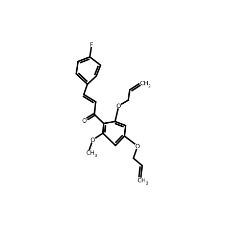 C=CCOc1cc(OC)c(C(=O)C=Cc2ccc(F)cc2)c(OCC=C)c1